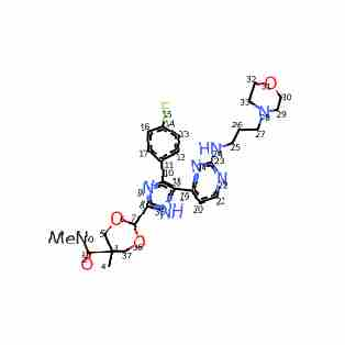 CNC(=O)C1(C)COC(c2nc(-c3ccc(F)cc3)c(-c3ccnc(NCCCN4CCOCC4)n3)[nH]2)OC1